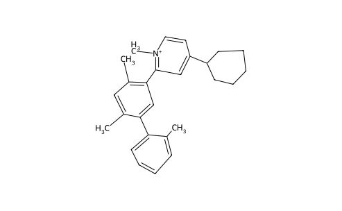 Cc1ccccc1-c1cc(-c2cc(C3CCCCC3)cc[n+]2C)c(C)cc1C